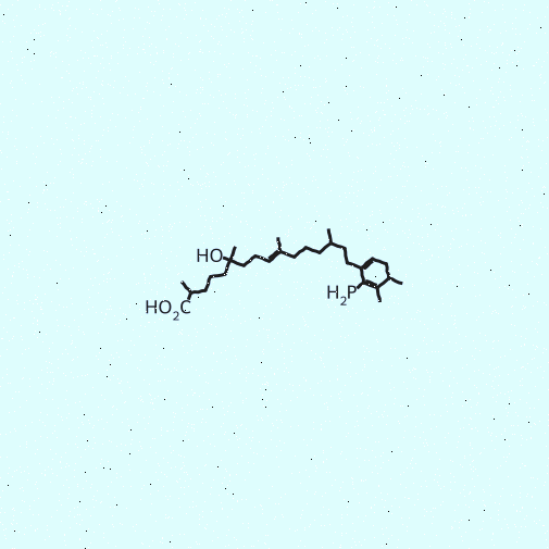 CC1=C(P)C(CCC(C)CCC/C(C)=C/CCC(C)(O)CCCC(C)C(=O)O)=CCC1C